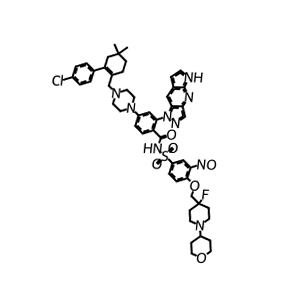 CC1(C)CCC(CN2CCN(c3ccc(C(=O)NS(=O)(=O)c4ccc(OCC5(F)CCN(C6CCOCC6)CC5)c(N=O)c4)c(-n4ncc5nc6[nH]ccc6cc54)c3)CC2)=C(c2ccc(Cl)cc2)C1